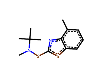 Cc1cccc2sc(SN(C)C(C)(C)C)nc12